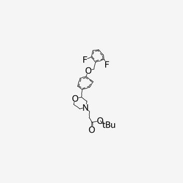 CC(C)(C)OC(=O)CCN1CCOC(c2ccc(OCc3c(F)cccc3F)cc2)C1